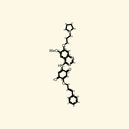 COc1cc2c(NC3=CC(=O)C(OCC=Cc4ccccc4)=CC3=O)ncnc2cc1OCCCN1CCCC1